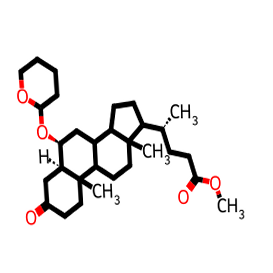 COC(=O)CC[C@@H](C)C1CCC2C3C[C@H](OC4CCCCO4)[C@@H]4CC(=O)CCC4(C)C3CCC21C